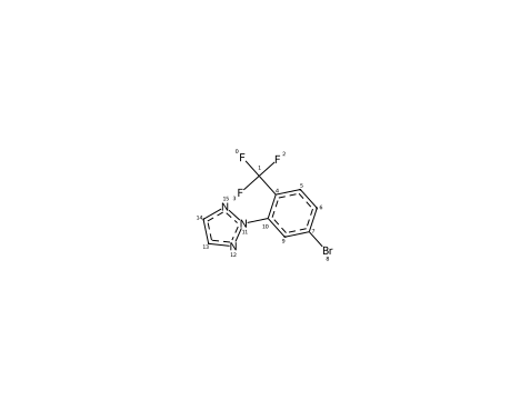 FC(F)(F)c1ccc(Br)cc1-n1nccn1